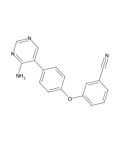 N#Cc1cccc(Oc2ccc(-c3cncnc3N)cc2)c1